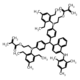 C=C(C)C(=O)OCCN(c1ccc(C(c2ccc(N(CCOC(=O)C(=C)C)c3c(CC)cc(C)cc3CC)cc2)c2ccc(Nc3c(C)cc(C)cc3C)c3ccccc23)cc1)c1c(CC)cc(C)cc1CC